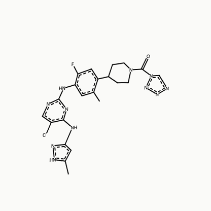 Cc1cc(Nc2nc(Nc3cc(C)c(C4CCN(C(=O)n5cnnn5)CC4)cc3F)ncc2Cl)n[nH]1